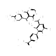 CCOc1c(C(C)Nc2ncnc(N)c2C(CC)C2=CN=C(N)NC2)cc(Cl)c(C)c1-c1ccc(C(=O)N(C)C)nc1